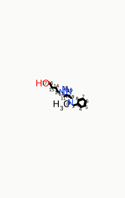 CN(Cc1ccccc1)Cc1cn(CCCCO)nn1